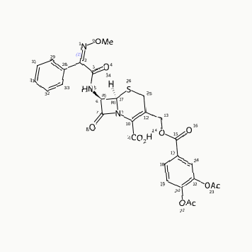 CO/N=C(\C(=O)N[C@@H]1C(=O)N2C(C(=O)O)=C(COC(=O)c3ccc(OC(C)=O)c(OC(C)=O)c3)CS[C@H]12)c1ccccc1